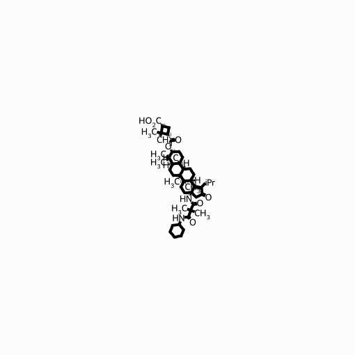 CC(C)C1=C2[C@H]3CC[C@@H]4[C@@]5(C)CC[C@H](OC(=O)[C@H]6C[C@@H](C(=O)O)C6(C)C)C(C)(C)[C@@H]5CC[C@@]4(C)[C@]3(C)CC[C@@]2(NC(=O)C(C)(C)C(=O)NC2CCCCC2)CC1=O